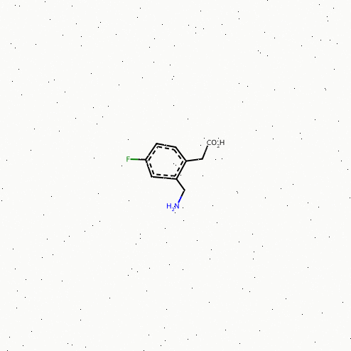 NCc1cc(F)ccc1CC(=O)O